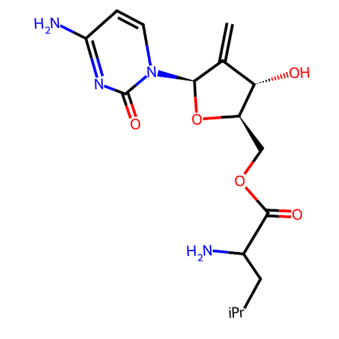 C=C1[C@H](n2ccc(N)nc2=O)O[C@H](COC(=O)C(N)CC(C)C)[C@H]1O